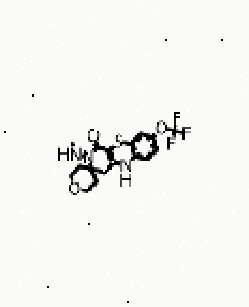 CNN1C(=O)C2=C(CC13CCOCC3)Nc1ccc(OC(F)(F)F)cc1S2